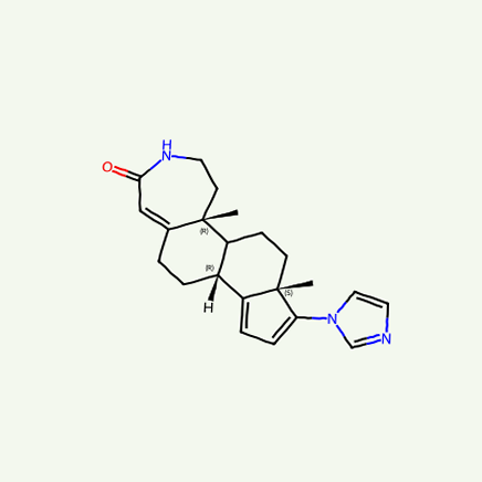 C[C@]12CCC3[C@@H](CCC4=CC(=O)NCC[C@@]43C)C1=CC=C2n1ccnc1